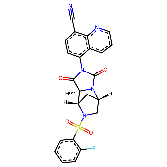 N#Cc1ccc(N2C(=O)[C@@H]3[C@@H]4C[C@@H](CN4S(=O)(=O)c4ccccc4F)N3C2=O)c2cccnc12